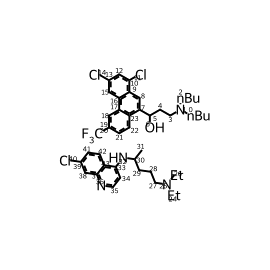 CCCCN(CCCC)CCC(O)c1cc2c(Cl)cc(Cl)cc2c2cc(C(F)(F)F)ccc12.CCN(CC)CCCC(C)Nc1ccnc2cc(Cl)ccc12